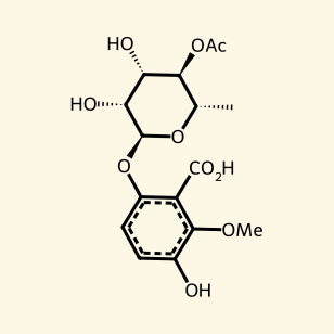 COc1c(O)ccc(O[C@@H]2O[C@@H](C)[C@H](OC(C)=O)[C@@H](O)[C@H]2O)c1C(=O)O